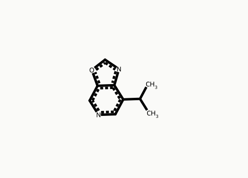 CC(C)c1cncc2ocnc12